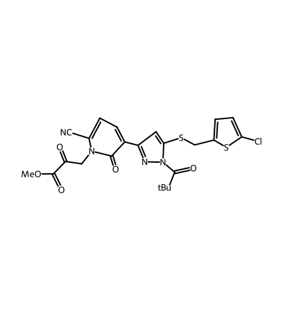 COC(=O)C(=O)Cn1c(C#N)ccc(-c2cc(SCc3ccc(Cl)s3)n(C(=O)C(C)(C)C)n2)c1=O